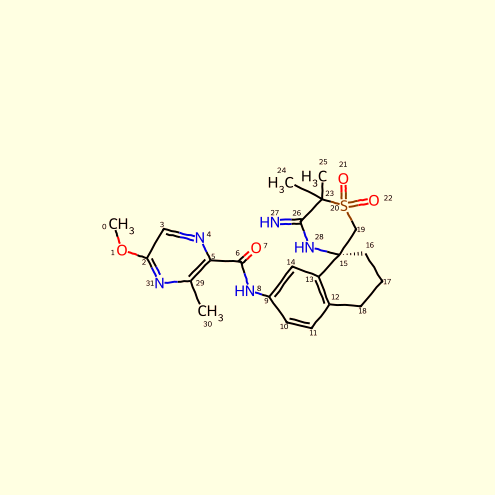 COc1cnc(C(=O)Nc2ccc3c(c2)[C@]2(CCC3)CS(=O)(=O)C(C)(C)C(=N)N2)c(C)n1